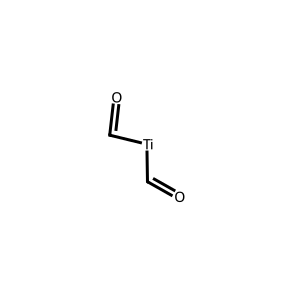 O=[CH][Ti][CH]=O